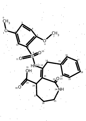 COc1ccc(OC)c(S(=O)(=O)NC(Cc2ccccc2)=C2C(=O)NCCCC2C(=O)O)c1